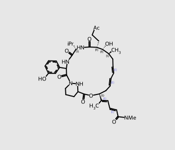 CNC(=O)/C=C/C=C(\C)[C@@H]1C/C=C/C=C/C[C@H](C)[C@@H](O)[C@@H](CCC(C)=O)C(=O)N[C@@H](C(C)C)C(=O)NC(c2cccc(O)c2)C(=O)N2CCCC(N2)C(=O)O1